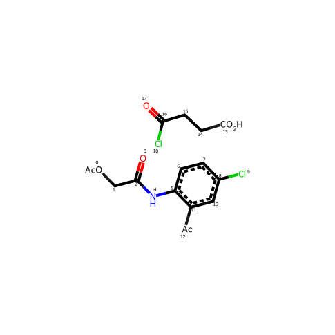 CC(=O)OCC(=O)Nc1ccc(Cl)cc1C(C)=O.O=C(O)CCC(=O)Cl